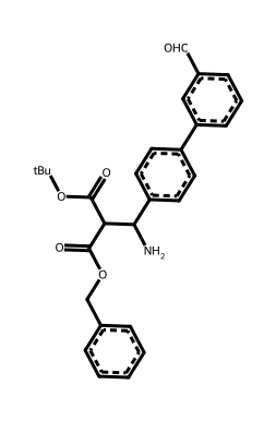 CC(C)(C)OC(=O)C(C(=O)OCc1ccccc1)C(N)c1ccc(-c2cccc(C=O)c2)cc1